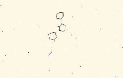 CC/C=C/CSc1cccc(-c2cn(CC(=O)OC)cc(-c3ccccc3)c2=S)c1